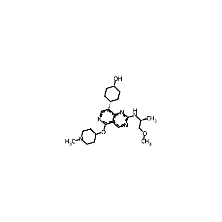 COC[C@H](C)Nc1ncc2c(OC3CCN(C)CC3)ncc([C@H]3CC[C@H](O)CC3)c2n1